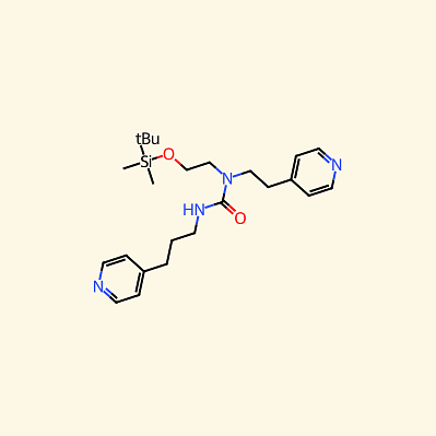 CC(C)(C)[Si](C)(C)OCCN(CCc1ccncc1)C(=O)NCCCc1ccncc1